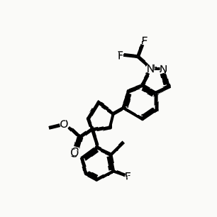 COC(=O)C1(c2cccc(F)c2C)CCC(c2ccc3cnn(C(F)F)c3c2)C1